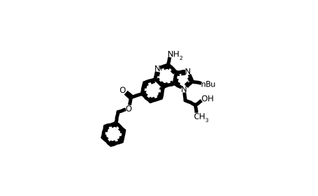 CCCCc1nc2c(N)nc3cc(C(=O)OCc4ccccc4)ccc3c2n1CC(C)O